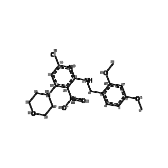 COc1ccc(CNc2nc(Cl)cc(N3CCOCC3)c2[N+](=O)[O-])c(OC)c1